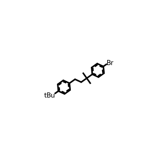 CC(C)(C)c1ccc(CCC(C)(C)c2ccc(Br)cc2)cc1